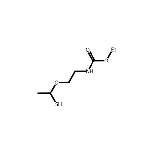 CCOC(=O)NCCOC(C)S